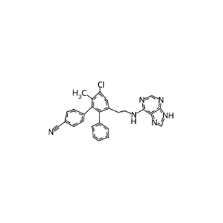 Cc1c(Cl)cc(CCNc2ncnc3[nH]cnc23)c(-c2ccccc2)c1-c1ccc(C#N)cc1